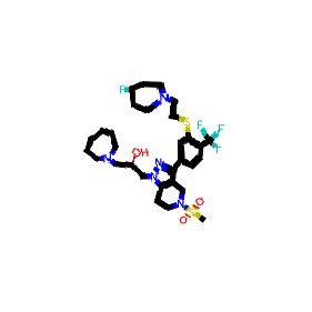 CS(=O)(=O)N1CCc2c(c(-c3ccc(C(F)(F)F)c(SCCN4CCC(F)CC4)c3)nn2C[C@@H](O)CN2CCCCCC2)C1